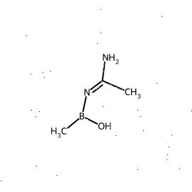 CB(O)/N=C(\C)N